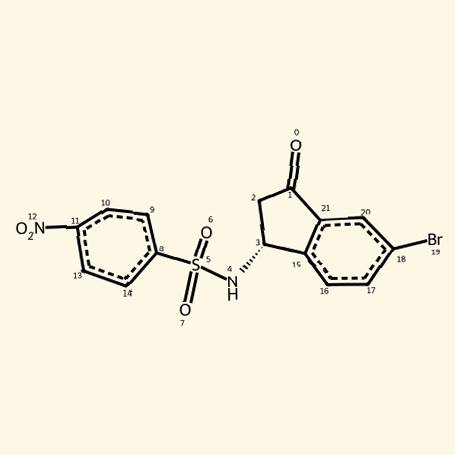 O=C1C[C@@H](NS(=O)(=O)c2ccc([N+](=O)[O-])cc2)c2ccc(Br)cc21